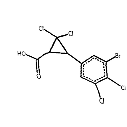 O=C(O)C1C(c2cc(Cl)c(Cl)c(Br)c2)C1(Cl)Cl